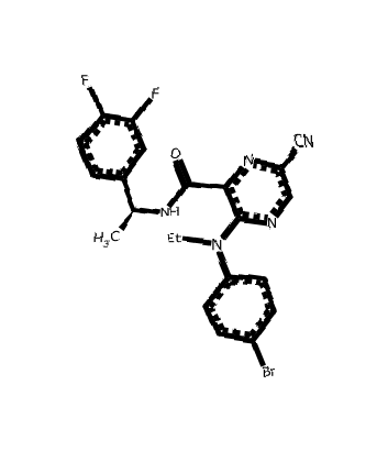 CCN(c1ccc(Br)cc1)c1ncc(C#N)nc1C(=O)N[C@@H](C)c1ccc(F)c(F)c1